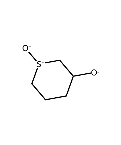 [O]C1CCC[S+]([O-])C1